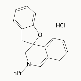 CCCN1C=C2CC=CC=C2C2(Cc3ccccc3O2)C1.Cl